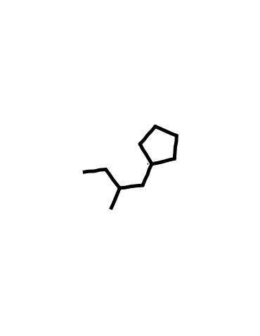 CCC(C)C[C]1CCCC1